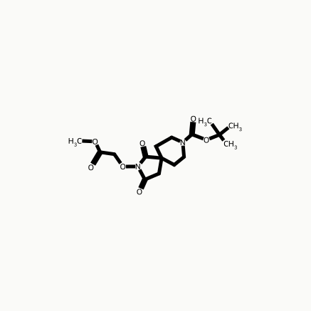 COC(=O)CON1C(=O)CC2(CCN(C(=O)OC(C)(C)C)CC2)C1=O